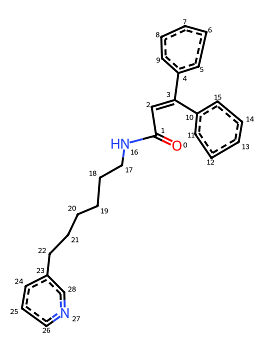 O=C(C=C(c1ccccc1)c1ccccc1)NCCCCCCc1cccnc1